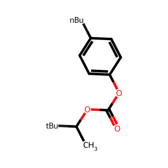 CCCCc1ccc(OC(=O)OC(C)C(C)(C)C)cc1